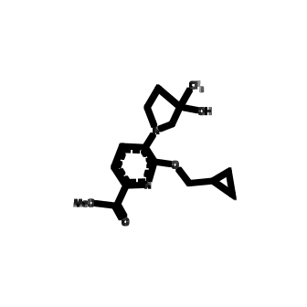 COC(=O)c1ccc(N2CCC(O)(C(F)(F)F)C2)c(OCC2CC2)n1